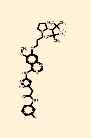 COc1cc2c(Nc3cc(CC(=O)Nc4cccc(F)c4)[nH]n3)ncnc2cc1OCCCN1CCC[C@H]1[C](C(C)(C)C)C(C)(C)C